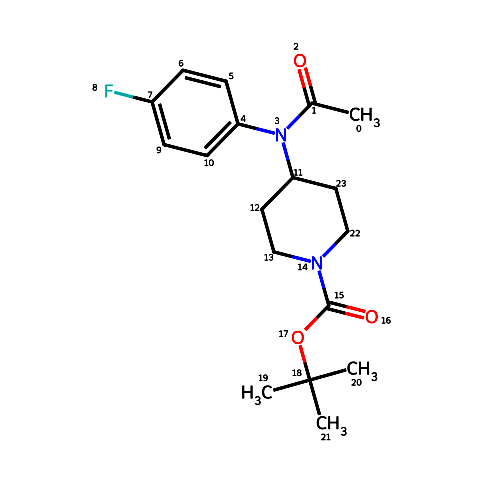 CC(=O)N(c1ccc(F)cc1)C1CCN(C(=O)OC(C)(C)C)CC1